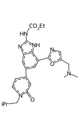 CCOC(=O)Nc1nc2cc(-c3ccn(CC(C)C)c(=O)c3)cc(-c3ncc(CN(C)C)o3)c2[nH]1